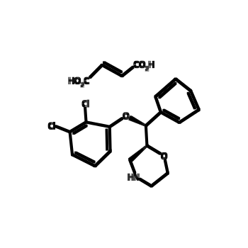 Clc1cccc(O[C@@H](c2ccccc2)[C@@H]2CNCCO2)c1Cl.O=C(O)C=CC(=O)O